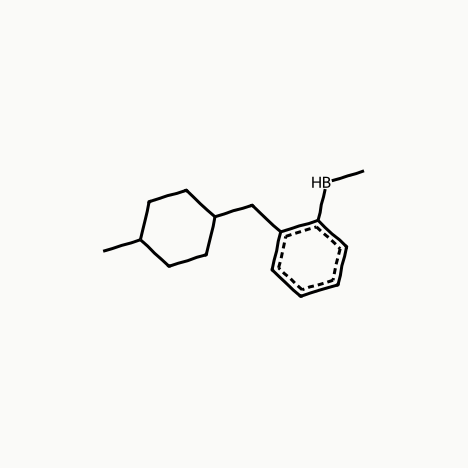 CBc1ccccc1CC1CCC(C)CC1